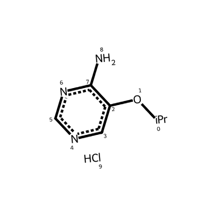 CC(C)Oc1cncnc1N.Cl